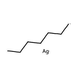 [Ag].[CH2]CCCCCC